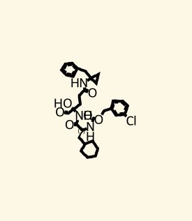 O=CC(O)(CCC(=O)NC1(Cc2ccccc2)CC1)NC(=O)[C@H](CC1CCCCC1)NC(=O)OCc1cccc(Cl)c1